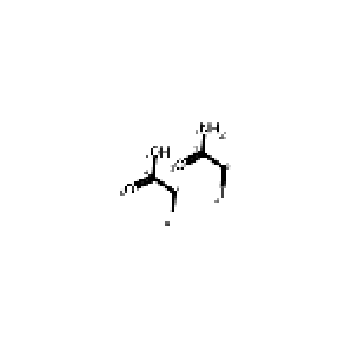 NC(=O)CI.O=C(O)CI